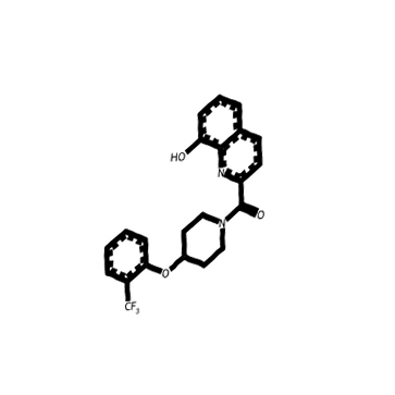 O=C(c1ccc2cccc(O)c2n1)N1CCC(Oc2ccccc2C(F)(F)F)CC1